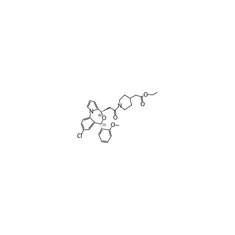 CCOC(=O)CC1CCN(C(=O)C[C@H]2O[C@H](c3ccccc3OC)c3cc(Cl)ccc3-n3cccc32)CC1